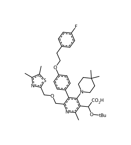 Cc1nc(COCc2nc(C)c(C(OC(C)(C)C)C(=O)O)c(N3CCC(C)(C)CC3)c2-c2ccc(OCCc3ccc(F)cc3)cc2)sc1C